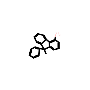 Bc1cccc2c1-c1ccccc1C2(C)c1ccccc1